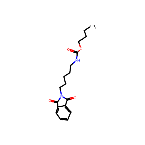 CCCCOC(=O)NCCCCCN1C(=O)c2ccccc2C1=O